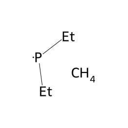 C.CC[P]CC